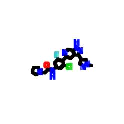 Cn1cc(-c2n[nH]c3cnc(-c4c(F)cc(NC(=O)CN5CCCC5)cc4Cl)cc23)cn1